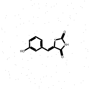 O=C1NC(=O)/C(=C/c2cccc(O)c2)S1